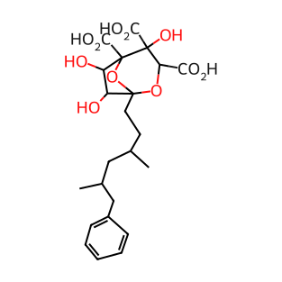 CC(CCC12OC(C(=O)O)C(O)(C(=O)O)C(C(=O)O)(O1)C(O)C2O)CC(C)Cc1ccccc1